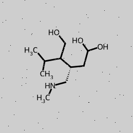 CNC[C@@H](CC(O)O)C(CO)C(C)C